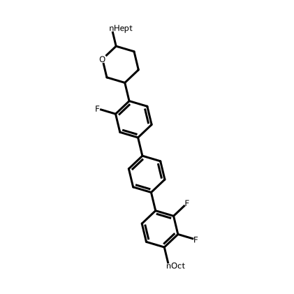 CCCCCCCCc1ccc(-c2ccc(-c3ccc(C4CCC(CCCCCCC)OC4)c(F)c3)cc2)c(F)c1F